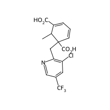 CC1C(C(=O)O)=CC=CC1(Cc1ncc(C(F)(F)F)cc1Cl)C(=O)O